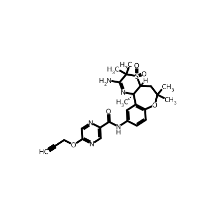 C#CCOc1cnc(C(=O)Nc2ccc3c(c2)[C@@]2(C)N=C(N)C(C)(C)S(=O)(=O)[C@@H]2CC(C)(C)O3)cn1